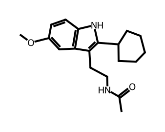 COc1ccc2[nH]c(C3CCCCC3)c(CCNC(C)=O)c2c1